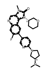 CN(C)[C@@H]1CCN(c2ccc(-c3cc4c(cc3F)ncc3c4n([C@H]4CCCOC4)c(=O)n3C)cn2)C1